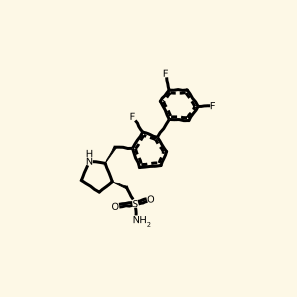 NS(=O)(=O)C[C@H]1CCN[C@H]1Cc1cccc(-c2cc(F)cc(F)c2)c1F